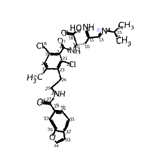 Cc1cc(Cl)c(C(=O)N[C@@H](CC(=N)/C=N/C(C)C)C(=O)O)c(Cl)c1CCNC(=O)c1ccc2ccoc2c1